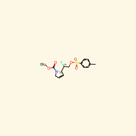 Cc1ccc(S(=O)(=O)OC[C@H](F)[C@@H]2C=CCN2C(=O)OC(C)(C)C)cc1